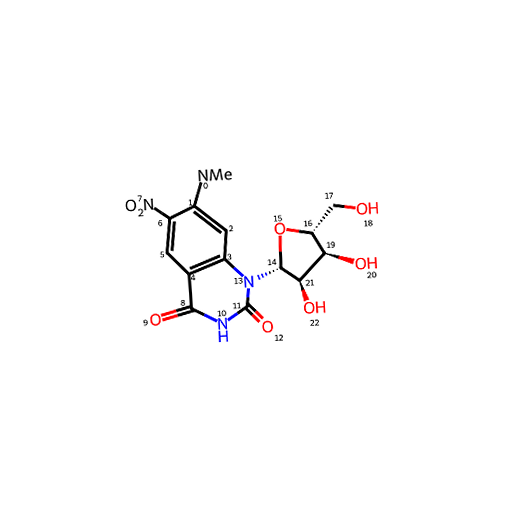 CNc1cc2c(cc1[N+](=O)[O-])c(=O)[nH]c(=O)n2[C@@H]1O[C@H](CO)[C@@H](O)[C@H]1O